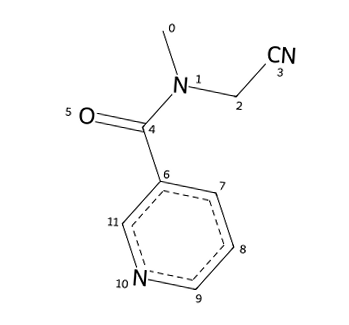 CN(CC#N)C(=O)c1cccnc1